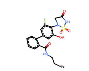 CC(C)CCNC(=O)c1ccccc1-c1cc(O)c(N2CC(=O)NS2(=O)=O)c(F)c1